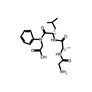 CC(C)C[C@H](NC(=O)[C@H](C)NC(=O)CN)C(=O)N(CC(=O)O)c1ccccc1